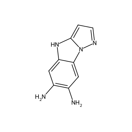 Nc1cc2[nH]c3ccnn3c2cc1N